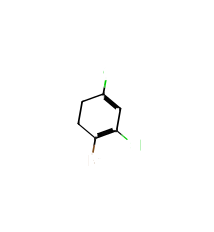 ClC1=CC(Cl)=C(Br)[CH]C1